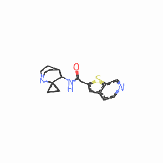 O=C(NC1C2CCN(CC2)C12CC2)c1cc2ccncc2s1